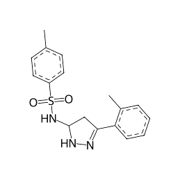 Cc1ccc(S(=O)(=O)NC2CC(c3ccccc3C)=NN2)cc1